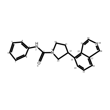 O=C(Nc1ccccc1)N1CCC(c2cccc3cnccc23)C1